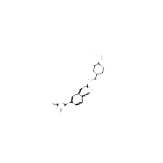 Cc1nnc(-c2ccc3cnc(NC(=O)C4CCC(N)CC4)cc3c2)s1